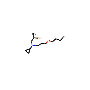 CC(C)CCCOCCCN(CC(C)S)C1CC1